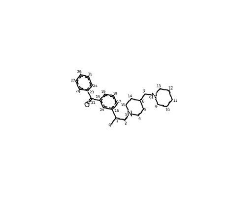 CC(CN1CCC(CN2CCCCC2)CC1)c1cccc(C(=O)c2ccccc2)c1